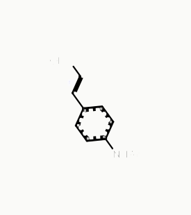 CC(=O)Nc1ccc(/C=C/C=O)cc1